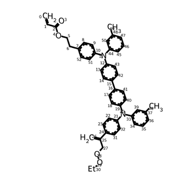 C=CC(=O)OCCc1ccc(N(c2ccc(-c3ccc(N(c4ccc(C(=C)COOCC)cc4)c4cccc(C)c4)cc3)cc2)c2cccc(C)c2)cc1